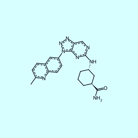 Cc1ccc2cc(-n3nnc4cnc(N[C@H]5CCC[C@H](C(N)=O)C5)nc43)ccc2n1